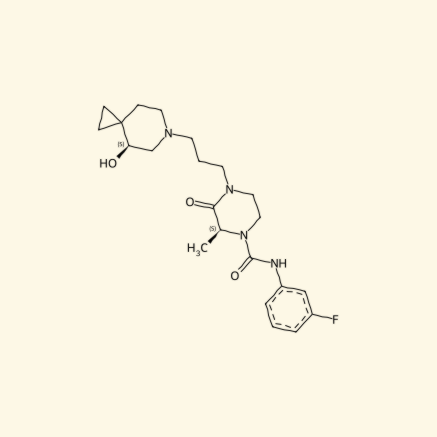 C[C@H]1C(=O)N(CCCN2CCC3(CC3)[C@H](O)C2)CCN1C(=O)Nc1cccc(F)c1